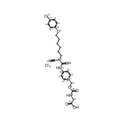 N#CN(CCCCCCOc1ccc(Cl)cc1)C(=N)Nc1cc[n+](COC(=O)NCC(=O)O)cc1.[Cl-]